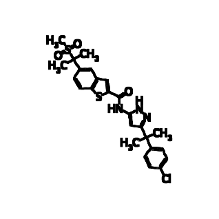 CC(C)(c1ccc(Cl)cc1)c1cc(NC(=O)c2cc3cc(C(C)(C)S(C)(=O)=O)ccc3s2)[nH]n1